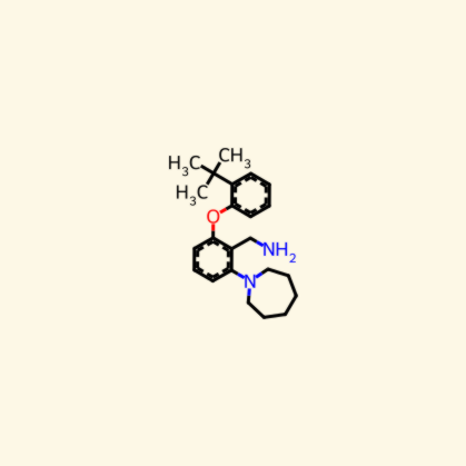 CC(C)(C)c1ccccc1Oc1cccc(N2CCCCCC2)c1CN